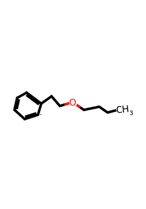 CCCCOCCc1[c]cccc1